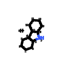 [H].c1ccc2c(c1)[nH]c1ccccc12